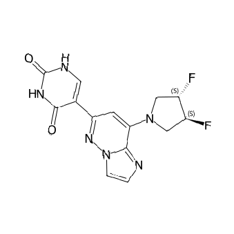 O=c1[nH]cc(-c2cc(N3C[C@H](F)[C@@H](F)C3)c3nccn3n2)c(=O)[nH]1